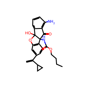 C=C(c1ccc2c(c1)OC1(O)c3cccc(N)c3C(=O)C21NC(=O)OCCCC)C1CC1